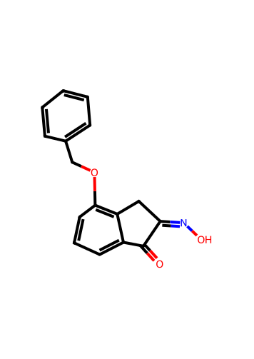 O=C1C(=NO)Cc2c(OCc3ccccc3)cccc21